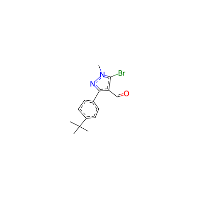 Cn1nc(-c2ccc(C(C)(C)C)cc2)c(C=O)c1Br